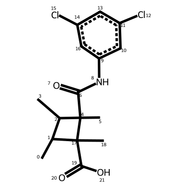 CC1C(C)C(C)(C(=O)Nc2cc(Cl)cc(Cl)c2)C1(C)C(=O)O